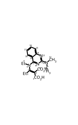 CCC(=C(C(=O)O)C(=O)O)N(CC)c1nc(N(C)C)nc2ccccc12